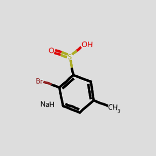 Cc1ccc(Br)c(S(=O)O)c1.[NaH]